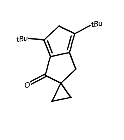 CC(C)(C)C1=C2CC3(CC3)C(=O)C2=C(C(C)(C)C)C1